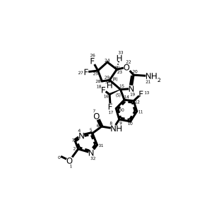 COc1cnc(C(=O)Nc2ccc(F)c([C@@]3(C(F)F)N=C(N)O[C@@H]4CC(F)(F)C[C@@H]43)c2)cn1